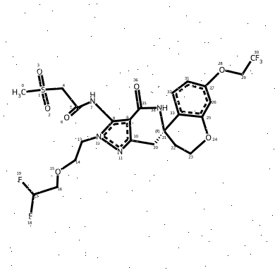 CS(=O)(=O)CC(=O)Nc1c2c(nn1CCOCC(F)F)C[C@]1(CCOc3cc(OCC(F)(F)F)ccc31)NC2=O